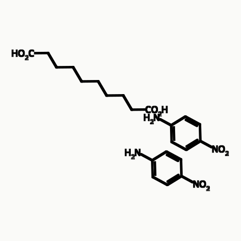 Nc1ccc([N+](=O)[O-])cc1.Nc1ccc([N+](=O)[O-])cc1.O=C(O)CCCCCCCCC(=O)O